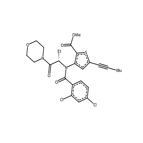 CC[C@@H](C(=O)N1CCOCC1)N(C(=O)c1ccc(Cl)cc1Cl)c1cc(C#CC(C)(C)C)sc1C(=O)OC